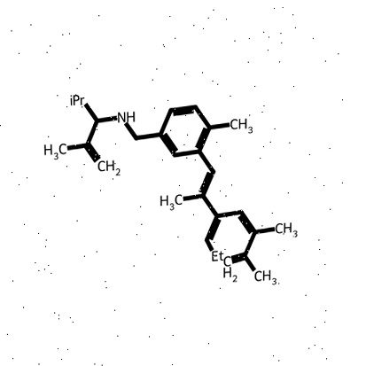 C=C(C)\C(C)=C/C(=C\CC)C(/C)=C/c1cc(CNC(C(=C)C)C(C)C)ccc1C